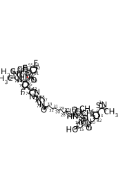 Cc1ncsc1-c1ccc(CNC(=O)[C@@H]2C[C@@H](O)CN2C(=O)C(NC(=O)CCCCCCCCC(=O)N2CCN(c3ncc(-c4cc(NC(=O)c5ccc(F)cc5C(F)(F)F)c(N5C[C@@H](C)N(C)[C@@H](C)C5)cc4F)cn3)CC2)C(C)(C)C)cc1